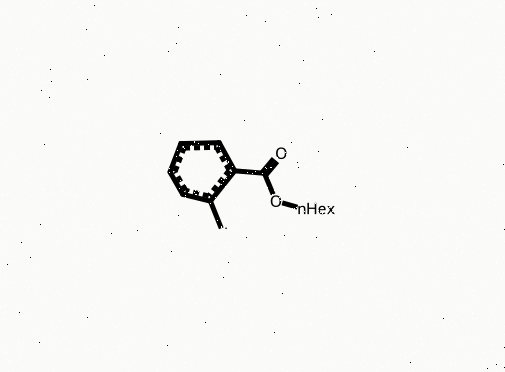 [CH2]c1ccccc1C(=O)OCCCCCC